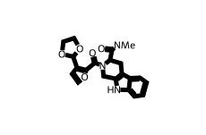 CNC(=O)C1Cc2c([nH]c3ccccc23)CN1C(=O)c1occc1C1OCCO1